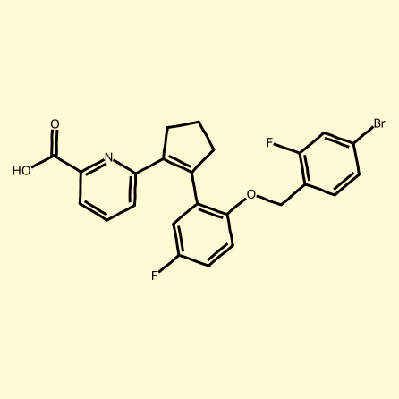 O=C(O)c1cccc(C2=C(c3cc(F)ccc3OCc3ccc(Br)cc3F)CCC2)n1